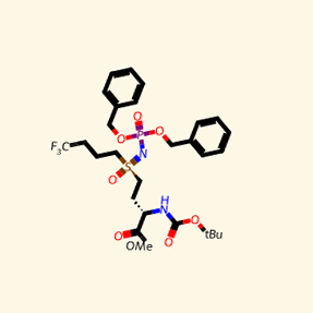 COC(=O)[C@H](CC[S@@](=O)(CCCC(F)(F)F)=NP(=O)(OCc1ccccc1)OCc1ccccc1)NC(=O)OC(C)(C)C